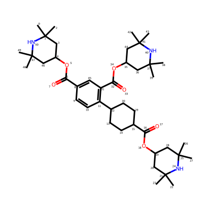 CC1(C)CC(OC(=O)c2ccc(C3CCC(C(=O)OC4CC(C)(C)NC(C)(C)C4)CC3)c(C(=O)OC3CC(C)(C)NC(C)(C)C3)c2)CC(C)(C)N1